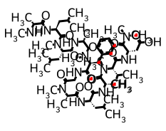 CN[C@@H](C)C(=O)N[C@@H](CC(C)C)C(=O)N(C)[C@@H](CC(C)C)C(=O)N[C@@H](C)C(=O)N(C)[C@@H](Cc1ccccc1)C(=O)NCC(=O)N(C)[C@@H](C)C(=O)N[C@@H](CC(C)C)C(=O)N[C@@H](C)C(=O)N(C)[C@H](C(=O)N[C@@H](CC(=O)O)C(=O)N(C)C)C(C)C